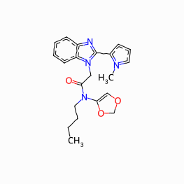 CCCCN(C(=O)Cn1c(-c2cccn2C)nc2ccccc21)C1=COCO1